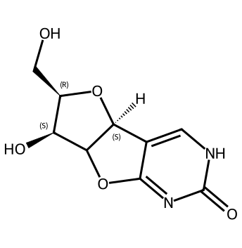 O=c1nc2c(c[nH]1)[C@@H]1O[C@H](CO)[C@H](O)C1O2